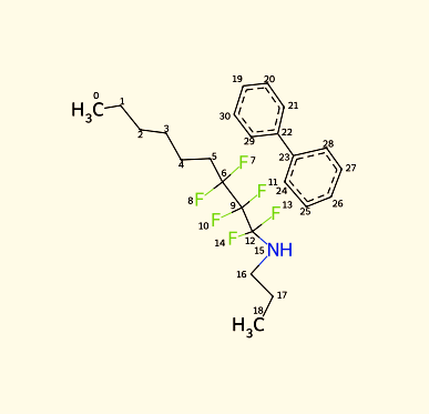 CCCCCCC(F)(F)C(F)(F)C(F)(F)NCCC.c1ccc(-c2ccccc2)cc1